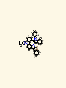 Cn1c2cccc3c2c2c1ccc1c4c5ccccc5sc4n(c12)c1c2ccccc2n(-c2ccccc2)c31